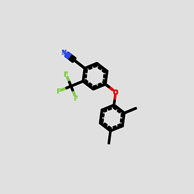 Cc1ccc(Oc2ccc(C#N)c(C(F)(F)F)c2)c(C)c1